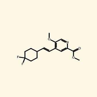 COC(=O)c1cc(C=CC2CCC(F)(F)CC2)c(OC)cn1